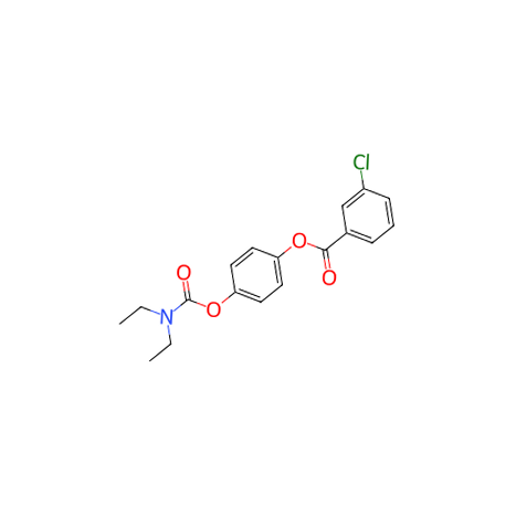 CCN(CC)C(=O)Oc1ccc(OC(=O)c2cccc(Cl)c2)cc1